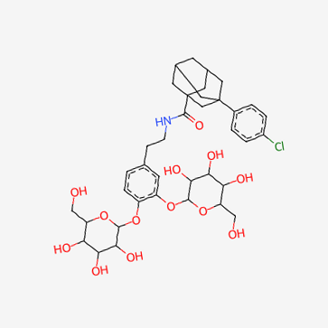 O=C(NCCc1ccc(OC2OC(CO)C(O)C(O)C2O)c(OC2OC(CO)C(O)C(O)C2O)c1)C12CC3CC(C1)CC(c1ccc(Cl)cc1)(C3)C2